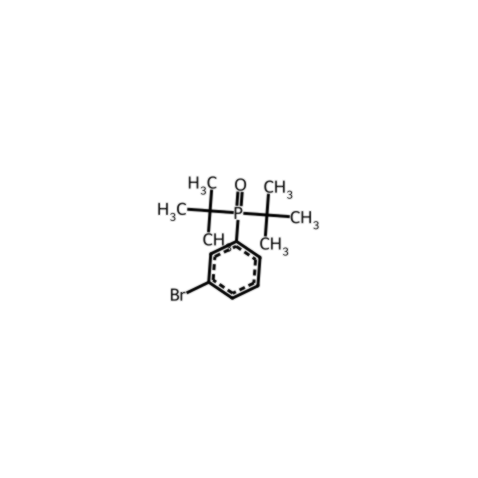 CC(C)(C)P(=O)(c1cccc(Br)c1)C(C)(C)C